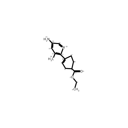 CCOC(=O)C1CC=C(c2ncc(N)cc2C)CC1